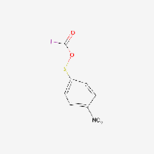 O=C(I)OSc1ccc([N+](=O)[O-])cc1